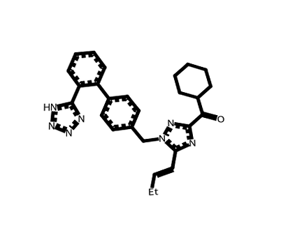 CCC=Cc1nc(C(=O)C2CCCCC2)nn1Cc1ccc(-c2ccccc2-c2nnn[nH]2)cc1